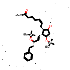 COC(=O)CCC/C=C\C[C@@H]1[C@@H](/C=C/[C@H](CCc2ccccc2)O[Si](C)(C)C(C)(C)C)[C@H](O[Si](C)(C)C(C)(C)C)C[C@@H]1O